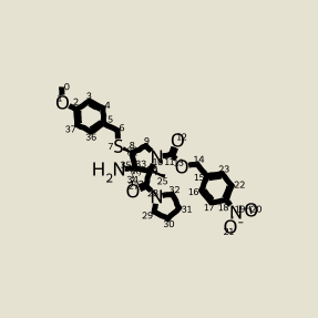 COc1ccc(CS[C@H]2CN(C(=O)OCc3ccc([N+](=O)[O-])cc3)[C@](C)(C(=O)N3CCCC3)[C@@]2(C)N)cc1